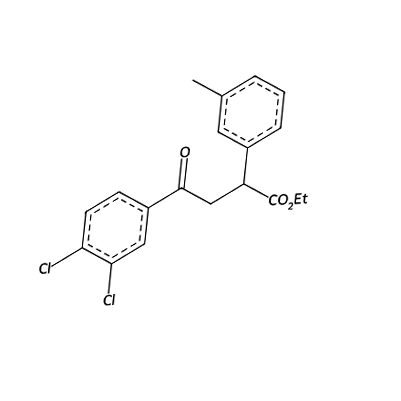 CCOC(=O)C(CC(=O)c1ccc(Cl)c(Cl)c1)c1cccc(C)c1